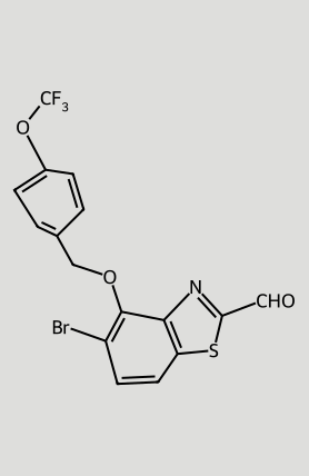 O=Cc1nc2c(OCc3ccc(OC(F)(F)F)cc3)c(Br)ccc2s1